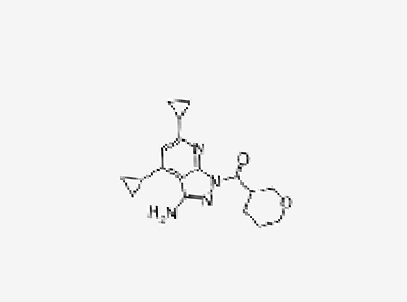 Nc1nn(C(=O)C2CCCOC2)c2nc(C3CC3)cc(C3CC3)c12